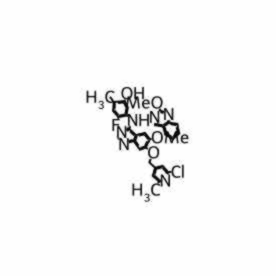 COc1cc2c(Nc3cc(O)c(C)cc3F)ncnc2cc1OCc1cc(C)nc(Cl)c1.COc1ncc2ccccc2n1